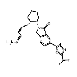 N/N=C\C=C/C[C@@H]1CCCC[C@@H]1N1Cc2ccc(-c3nnc(C(F)F)o3)cc2C1=O